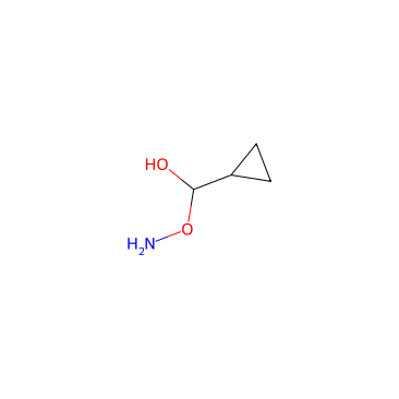 NOC(O)C1CC1